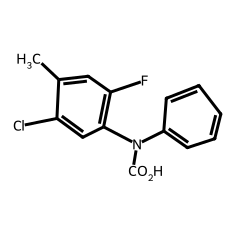 Cc1cc(F)c(N(C(=O)O)c2ccccc2)cc1Cl